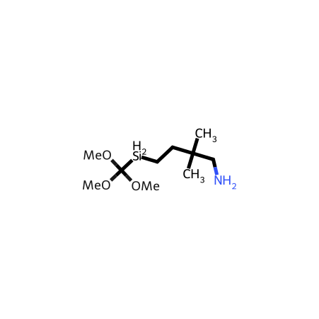 COC(OC)(OC)[SiH2]CCC(C)(C)CN